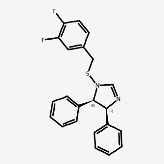 Fc1ccc(CSN2C=N[C@@H](c3ccccc3)[C@H]2c2ccccc2)cc1F